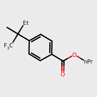 CCCOC(=O)c1ccc(C(C)(CC)C(F)(F)F)cc1